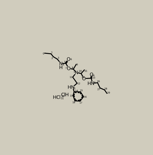 CCCCNC(=O)OC(C)N(CCNc1ccccc1)C(C)OC(=O)NCCCC.Cl.Cl